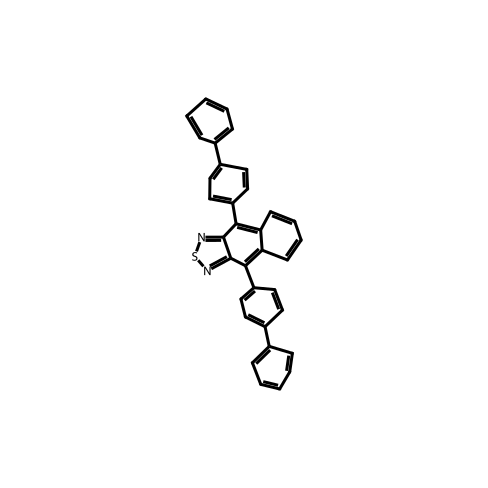 c1ccc(-c2ccc(-c3c4ccccc4c(-c4ccc(-c5ccccc5)cc4)c4nsnc34)cc2)cc1